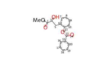 COC(=O)C(O)Cc1ccccc1OC(=O)c1ccccc1